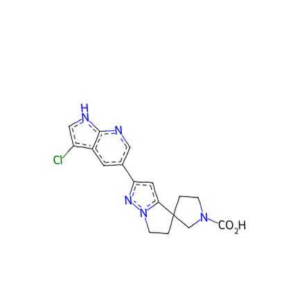 O=C(O)N1CCC2(CCn3nc(-c4cnc5[nH]cc(Cl)c5c4)cc32)C1